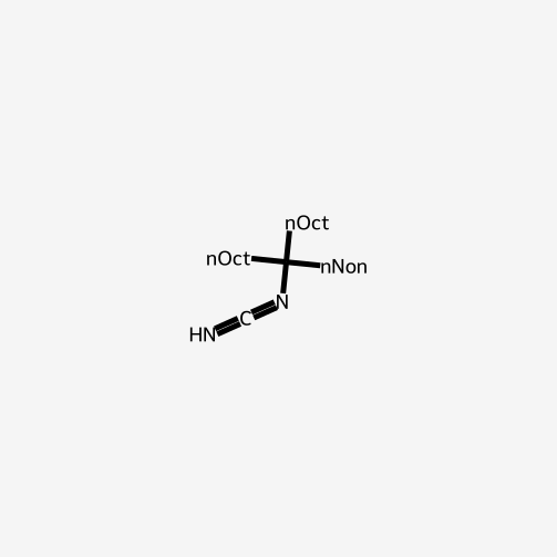 CCCCCCCCCC(CCCCCCCC)(CCCCCCCC)N=C=N